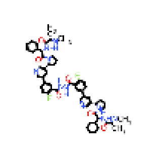 CN[C@@H](C)C(=O)N[C@H](C(=O)N1CCC[C@H]1c1cncc(-c2ccc(F)c(C(=O)NNC(=O)c3cc(-c4cncc([C@@H]5CCCN5C(=O)[C@@H](NC(=O)[C@H](C)NC)C5CCCCC5)c4)ccc3F)c2)c1)C1CCCCC1